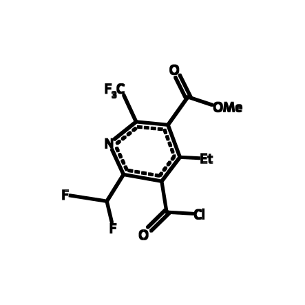 CCc1c(C(=O)Cl)c(C(F)F)nc(C(F)(F)F)c1C(=O)OC